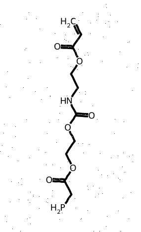 C=CC(=O)OCCNC(=O)OCCOC(=O)CP